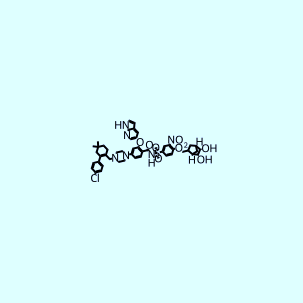 CC1(C)CCC(CN2CCN(c3ccc(C(=O)NS(=O)(=O)c4ccc(OCC5C[C@@H]6C[C@@H]5[C@@H](O)[C@H]6O)c([N+](=O)[O-])c4)c(Oc4cnc5[nH]ccc5c4)c3)CC2)=C(c2ccc(Cl)cc2)C1